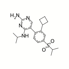 CC(C)Nc1nc(N)ncc1-c1ccc(S(=O)(=O)C(C)C)cc1C1CCC1